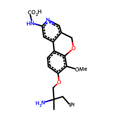 COc1c(OCC(C)(N)CC(C)C)ccc2c1OCc1cnc(NC(=O)O)cc1-2